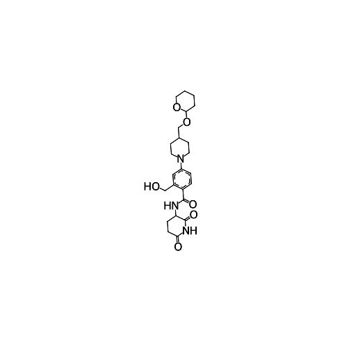 O=C1CCC(NC(=O)c2ccc(N3CCC(COC4CCCCO4)CC3)cc2CO)C(=O)N1